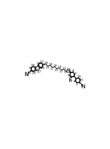 N#Cc1ccc(-c2ccc(OCCCCCCCCCCc3ccc4c(c3)Cc3cc(C#N)ccc3-4)cc2F)cc1